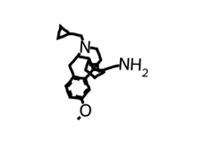 COc1ccc2c(c1)C13CCN(CC4CC4)C(C2)C12CCC(N)C3CC2